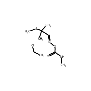 CCCl.CNC(=O)O/N=C/C(C)(C)SC